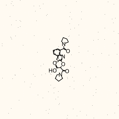 O=C(O)C(Oc1nc2c(C(=O)N3CCCC3)cccc2s1)C(=O)N1CCCC1